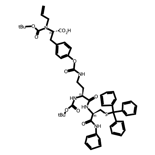 C=CCN(C(=O)OC(C)(C)C)[C@@H](Cc1ccc(OC(=O)NCC[C@H](NC(=O)OC(C)(C)C)C(=O)N[C@@H](CSC(c2ccccc2)(c2ccccc2)c2ccccc2)C(=O)Nc2ccccc2)cc1)C(=O)O